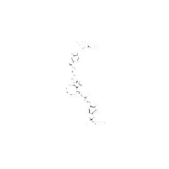 CNC(C)(C)CCOc1ccc(C(=O)NCCCn2nnc3c2CCCCCC3OCC(=O)NCc2ccc(CC(C)(C)NC)cc2)cc1